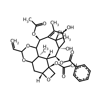 C=CC1OC2C[C@H]3OC[C@@]3(OC(C)=O)[C@H]3[C@H](OC(=O)c4ccccc4)[C@]4(O)C[C@H](O)C(C)=C([C@H](OC(C)=O)C(O1)[C@]23C)C4(C)C